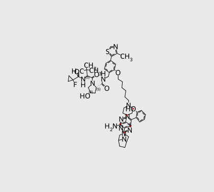 Cc1ncsc1-c1ccc(CNC(=O)[C@@H]2C[C@@H](O)CN2C(=O)[C@@H](NC(=O)C2(F)CC2)C(C)(C)C)c(OCCCCCCN2CCC(c3cnc(N4C5CCC4CN(c4cc(-c6ccccc6O)nnc4N)C5)nc3)CC2)c1